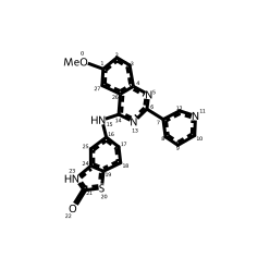 COc1ccc2nc(-c3cccnc3)nc(Nc3ccc4sc(=O)[nH]c4c3)c2c1